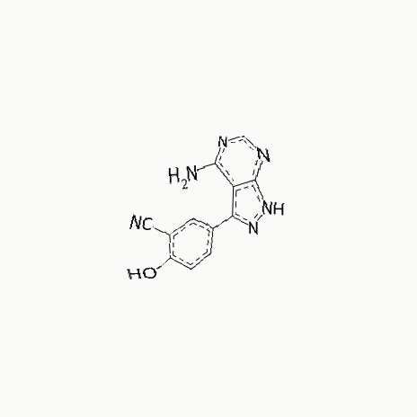 N#Cc1cc(-c2n[nH]c3ncnc(N)c23)ccc1O